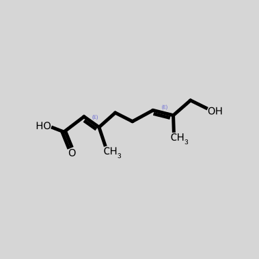 C/C(=C\CC/C(C)=C/C(=O)O)CO